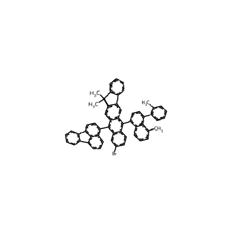 Cc1ccccc1-c1ccc(-c2c3ccc(Br)cc3c(-c3ccc4c5c(cccc35)-c3ccccc3-4)c3cc4c(cc23)-c2ccccc2C4(C)C)c2cccc(C)c12